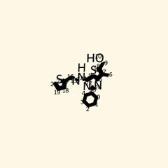 C1CCCCC1.Cc1c(CO)sc2c(NN=Cc3cccs3)ncnc12